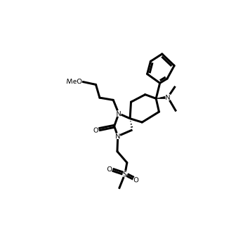 COCCCN1C(=O)N(CCS(C)(=O)=O)C[C@]12CC[C@](c1ccccc1)(N(C)C)CC2